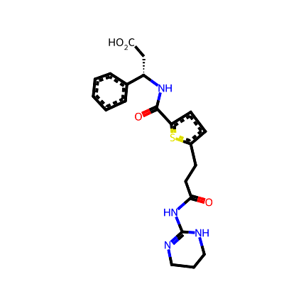 O=C(O)C[C@H](NC(=O)c1ccc(CCC(=O)NC2=NCCCN2)s1)c1ccccc1